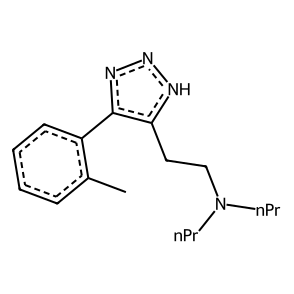 CCCN(CCC)CCc1[nH]nnc1-c1ccccc1C